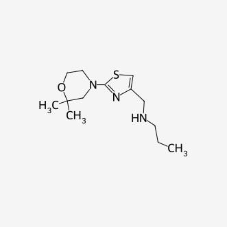 CCCNCc1csc(N2CCOC(C)(C)C2)n1